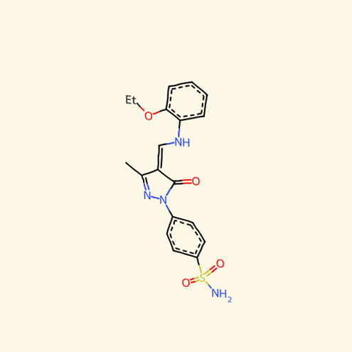 CCOc1ccccc1N/C=C1\C(=O)N(c2ccc(S(N)(=O)=O)cc2)N=C1C